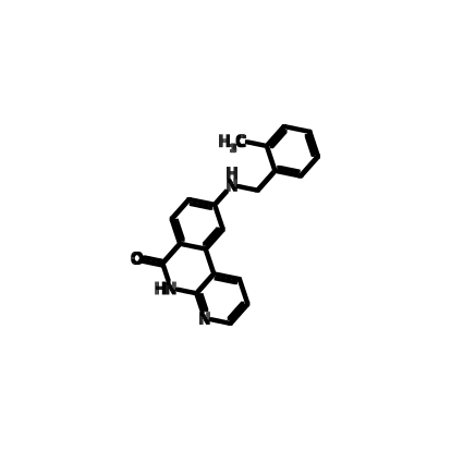 Cc1ccccc1CNc1ccc2c(=O)[nH]c3ncccc3c2c1